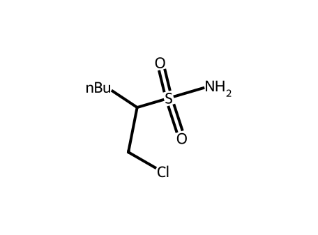 CCCCC(CCl)S(N)(=O)=O